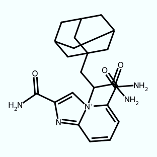 NC(=O)C1=C[N+]2(C(CC34CC5CC(CC(C5)C3)C4)C(N)=O)C(C(N)=O)=CC=CC2=N1